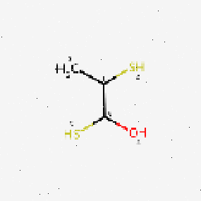 [CH2]C(S)C(O)S